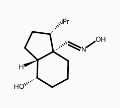 CC(C)[C@H]1CC[C@H]2[C@@H](O)CCC[C@]12/C=N/O